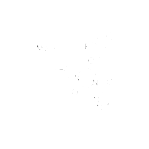 COc1ccc(CN2CC(OCc3ccccc3F)CN(C(=O)c3ccn(C)n3)CC2=O)cc1